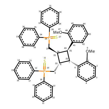 COc1ccccc1[C@@H]1[C@H](CP(=S)(c2ccccc2)c2ccccc2)[C@@H](CP(=S)(c2ccccc2)c2ccccc2)[C@H]1c1ccccc1OC